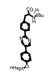 CCCCCCCOc1ccc(-c2cnc(-c3ccc(CC(NC(C)(C)C)C(=O)O)cc3)nc2)cc1